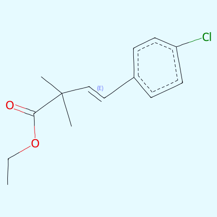 CCOC(=O)C(C)(C)/C=C/c1ccc(Cl)cc1